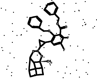 C[C@]12OB(C3CC3c3cc(F)c(F)c(C(=O)OCc4ccccc4)c3OCc3ccccc3)OC3C4CC5CC1C54C32